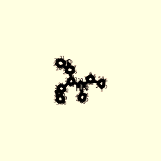 c1ccc(-c2cccc(-c3cc(-c4cc(-c5ccc6sc7ccccc7c6c5)cc(-c5ccc6sc7ccccc7c6c5)c4)nc(-c4ccccc4)n3)c2)cc1